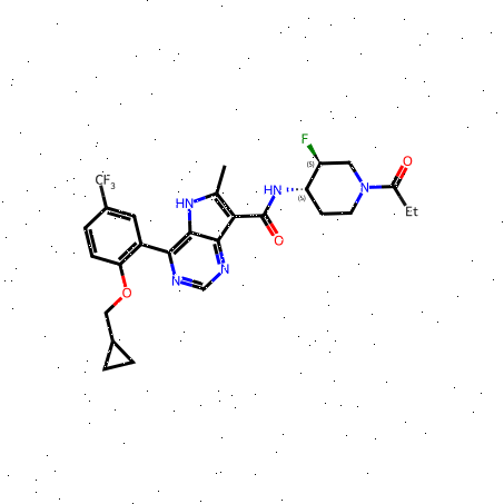 CCC(=O)N1CC[C@H](NC(=O)c2c(C)[nH]c3c(-c4cc(C(F)(F)F)ccc4OCC4CC4)ncnc23)[C@@H](F)C1